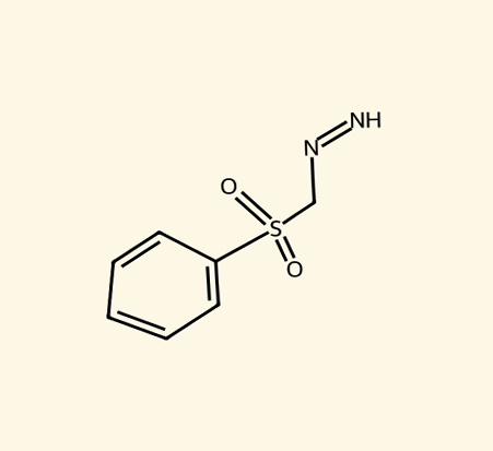 N=NCS(=O)(=O)c1ccccc1